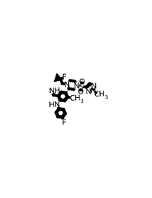 Cc1cc(Nc2ccc(F)cc2)c(C=N)cc1[C@H]1CN(S(=O)(=O)c2cnn(C)n2)CCN1CC1(F)CC1